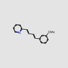 COc1cccc(C=CC=Cc2ccccn2)c1